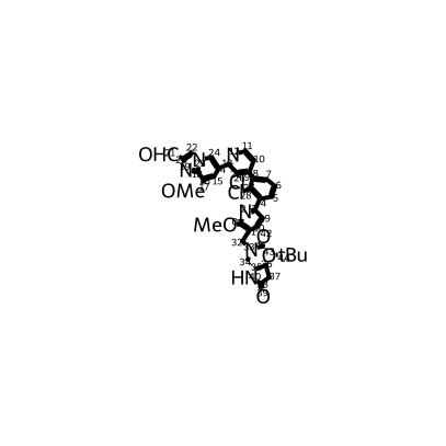 COc1nc(-c2cccc(-c3ccnc(-c4cc(OC)c5nc(C=O)cn5c4)c3Cl)c2Cl)ccc1CN(C[C@@H]1CCC(=O)N1)C(=O)OC(C)(C)C